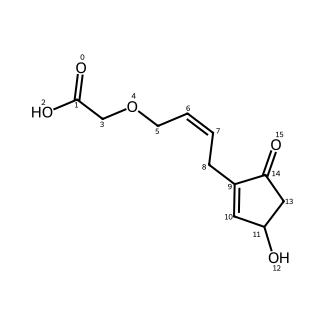 O=C(O)COC/C=C\CC1=CC(O)CC1=O